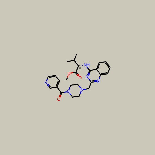 COC(=O)[C@@H](Nc1nc(CN2CCN(C(=O)c3cccnc3)CC2)nc2ccccc12)C(C)C